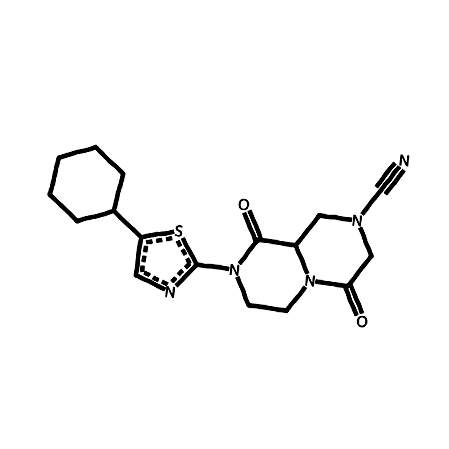 N#CN1CC(=O)N2CCN(c3ncc(C4CCCCC4)s3)C(=O)C2C1